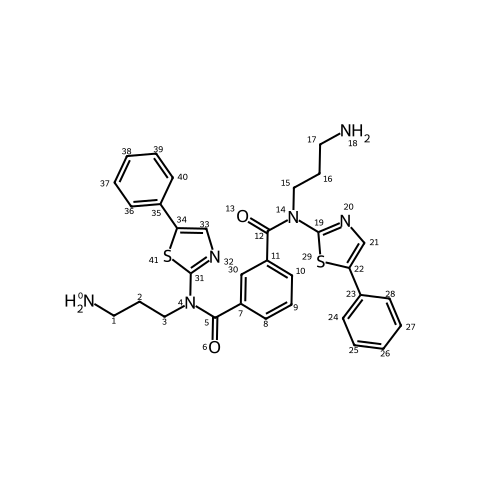 NCCCN(C(=O)c1cccc(C(=O)N(CCCN)c2ncc(-c3ccccc3)s2)c1)c1ncc(-c2ccccc2)s1